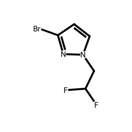 FC(F)Cn1ccc(Br)n1